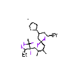 CCC(I)C(I)(CC(C)C(C)CC(I)(I)CC(CCC(C)C)C1CCCC1)C(C)(I)I